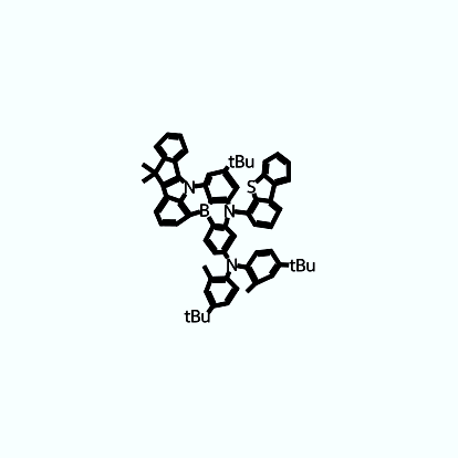 Cc1cc(C(C)(C)C)ccc1N(c1ccc2c(c1)N(c1cccc3c1sc1ccccc13)c1cc(C(C)(C)C)cc3c1B2c1cccc2c4c(n-3c12)-c1ccccc1C4(C)C)c1ccc(C(C)(C)C)cc1C